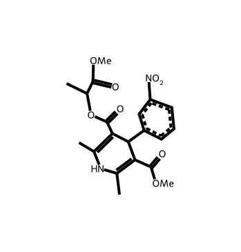 COC(=O)C1=C(C)NC(C)=C(C(=O)OC(C)C(=O)OC)C1c1cccc([N+](=O)[O-])c1